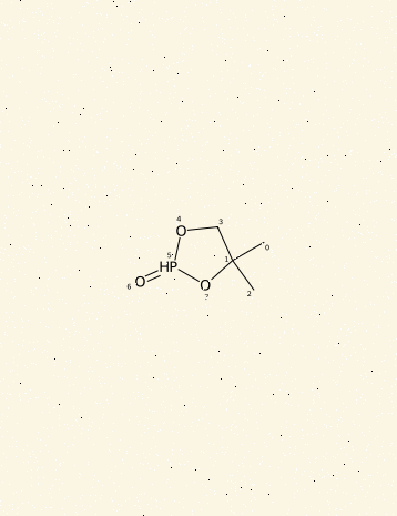 CC1(C)CO[PH](=O)O1